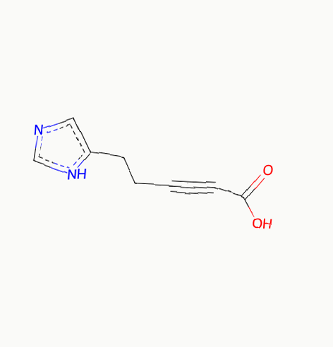 O=C(O)C#CCCc1cnc[nH]1